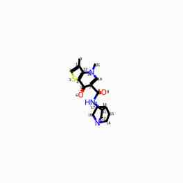 Cc1csc2c(=O)c(C(=O)NC3CN4CCC3CC4)cn(C)c12